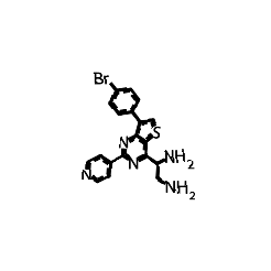 NCC(N)c1nc(-c2ccncc2)nc2c(-c3ccc(Br)cc3)csc12